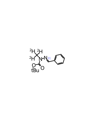 [2H]C([2H])([2H])N(/N=C/c1ccccc1)C(=O)OC(C)(C)C